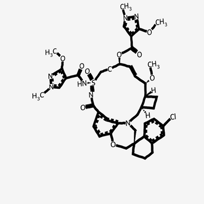 COc1nn(C)cc1C(=O)N[S@@]1(=O)=NC(=O)c2ccc3c(c2)N(C[C@@H]2CC[C@H]2[C@@H](OC)/C=C/[C@H](OC(=O)c2cn(C)nc2OC)CC1)C[C@@]1(CCCc2cc(Cl)ccc21)CO3